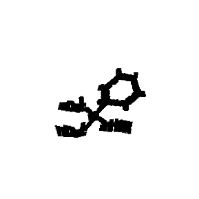 CCCCCCCCCC[Si](CCCCCC)(CCCCCCCCCC)c1ccccc1